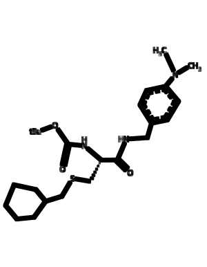 CN(C)c1ccc(CNC(=O)[C@H](CSCC2CCCCC2)NC(=O)OC(C)(C)C)cc1